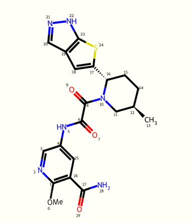 COc1ncc(NC(=O)C(=O)N2C[C@H](C)CC[C@H]2c2cc3cn[nH]c3s2)cc1C(N)=O